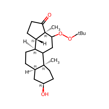 CC(C)(C)OOC1CC2[C@@H](CC[C@@H]3C[C@H](O)CC[C@]23C)[C@@H]2CCC(=O)[C@@]12C